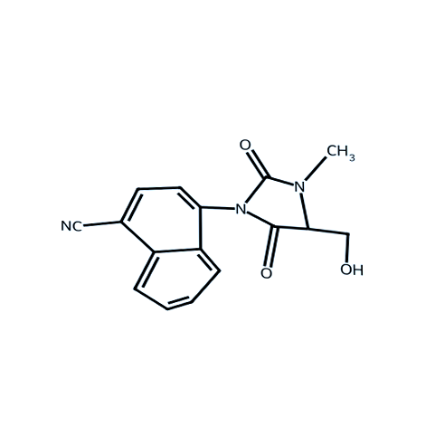 CN1C(=O)N(c2ccc(C#N)c3ccccc23)C(=O)C1CO